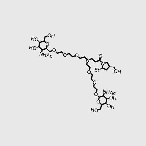 CC[C@@H]1C[C@@H](CO)CN1C(=O)CCN(CCOCCOCCOC[C@@H]1OC(CO)[C@H](O)[C@H](O)C1NC(C)=O)CCOCCOCCO[C@@H]1OC(CO)[C@H](O)[C@H](O)C1NC(C)=O